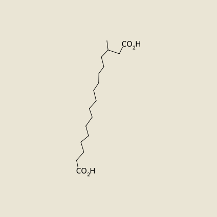 CC(CCCCCCCCCCCCCC(=O)O)CC(=O)O